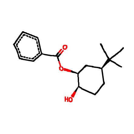 CC(C)(C)[C@H]1CC[C@@H](O)[C@@H](OC(=O)c2ccccc2)C1